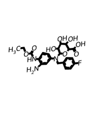 CCOC(=O)Nc1ccc(N(Cc2ccc(F)cc2)C2OC(C(=O)O)C(O)C(O)C2O)cc1N